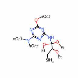 CCCCCCCCOc1nc(NC(OCC)(OCC)C(C[SiH3])OCC)nc(N(CCCCCCCC)CCCCCCCC)n1